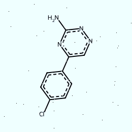 Nc1nncc(-c2ccc(Cl)cc2)n1